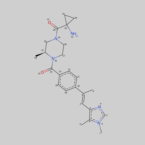 C/C(=C\c1ncn(C)c1C)c1ccc(C(=O)N2CCN(C(=O)C3(N)CC3)C[C@@H]2C)cc1